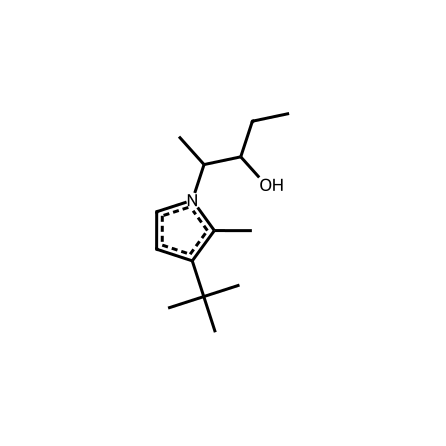 CCC(O)C(C)n1ccc(C(C)(C)C)c1C